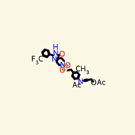 CC(=O)OCC#CN(C(C)=O)c1ccc(CCS(=O)(=O)N2CCC3(CC2)N=C(c2cccc(C(F)(F)F)c2)NC3=O)c(C)c1